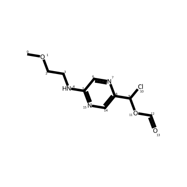 COCCNc1cnc(C(Cl)OC=O)cn1